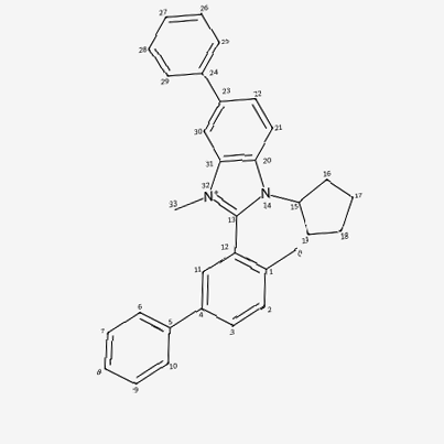 Cc1ccc(-c2ccccc2)cc1-c1n(C2CCCC2)c2ccc(-c3ccccc3)cc2[n+]1C